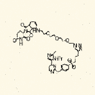 Cc1ncc(-c2ccnc(Cc3ccc(S(=O)(=O)CCCc4cn(CCOCCOCCOCCNc5cccc6c5C(=O)N(C5CCC(=O)NC5=O)C6=O)nn4)cc3)n2)n1C(C)C